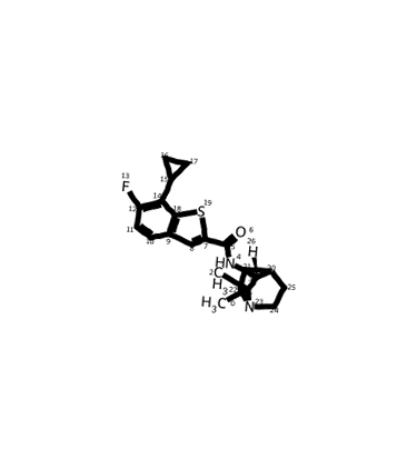 CC1(C)[C@H](NC(=O)c2cc3ccc(F)c(C4CC4)c3s2)C2CCN1CC2